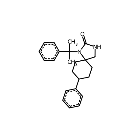 CC(C)(c1ccccc1)N1C(=O)NCC12CCC(c1ccccc1)CC2